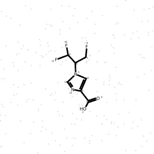 O=C(O)c1cn(C(CF)C(F)F)cn1